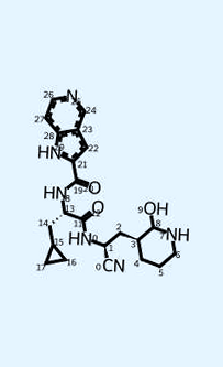 N#C[C@H](C[C@@H]1CCCNC1O)NC(=O)[C@H](CC1CC1)NC(=O)c1cc2cnccc2[nH]1